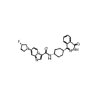 O=C(N[C@H]1CC[C@H](c2n[nH]c(=O)c3ccccc32)CC1)c1cnc2cc(N3CC[C@@H](F)C3)ccn12